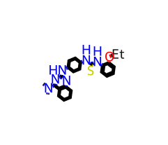 CCOc1ccccc1NC(=S)NC1CCC(Nc2nc3c(c(N(C)C)n2)CCCC3)CC1